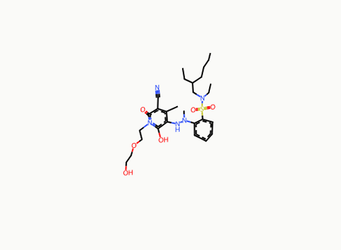 CCCCC(CC)CN(CC)S(=O)(=O)c1ccccc1N(C)Nc1c(C)c(C#N)c(=O)n(CCOCCO)c1O